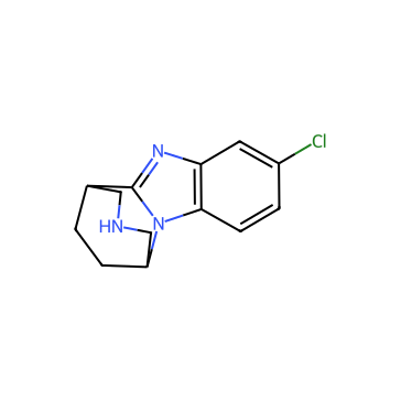 Clc1ccc2c(c1)nc1n2C2CCC1CNC2